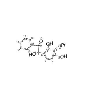 CCCc1c(O)ccc(C(O)C(=O)c2ccccc2)c1O